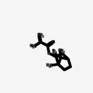 C=C(N)C(=O)OC1CC2CCC1(C)C2(C)C